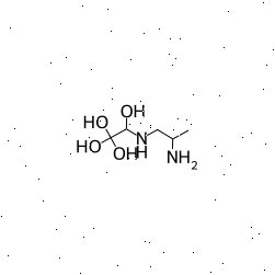 CC(N)CNC(O)C(O)(O)O